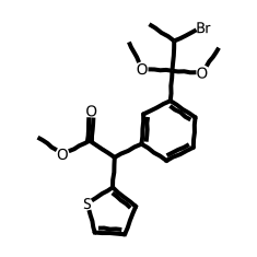 COC(=O)C(c1cccc(C(OC)(OC)C(C)Br)c1)c1cccs1